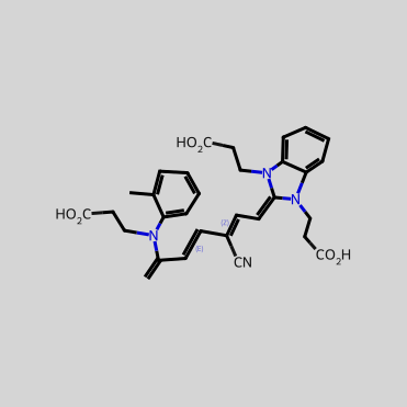 C=C(/C=C/C(C#N)=C/C=C1N(CCC(=O)O)c2ccccc2N1CCC(=O)O)N(CCC(=O)O)c1ccccc1C